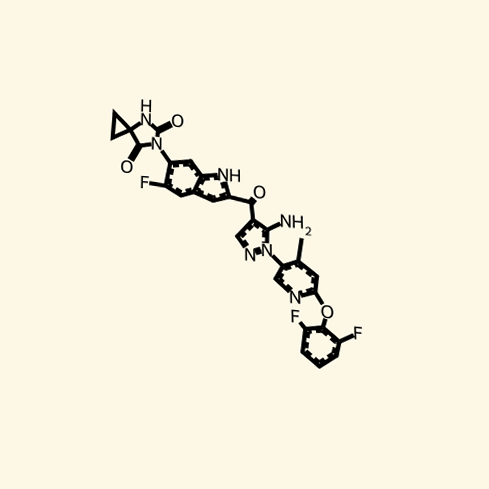 Cc1cc(Oc2c(F)cccc2F)ncc1-n1ncc(C(=O)c2cc3cc(F)c(N4C(=O)NC5(CC5)C4=O)cc3[nH]2)c1N